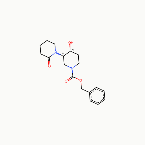 O=C(OCc1ccccc1)N1CC[C@@H](O)[C@H](N2CCCCC2=O)C1